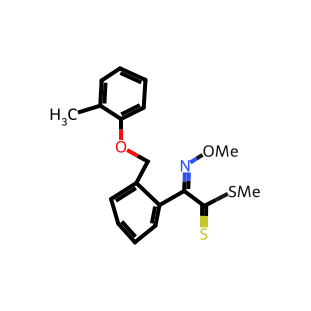 CON=C(C(=S)SC)c1ccccc1COc1ccccc1C